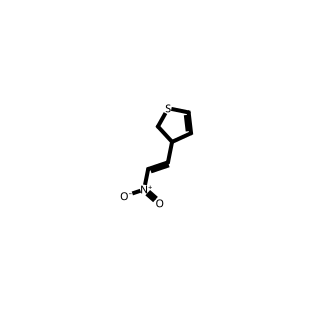 O=[N+]([O-])/C=C/C1C=CSC1